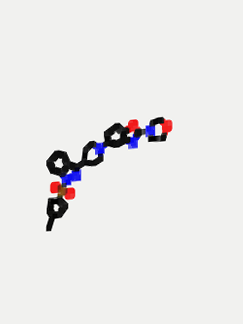 Cc1ccc(S(=O)(=O)n2nc(C3CCN(c4ccc5oc(N6CCOCC6)nc5c4)CC3)c3ccccc32)cc1